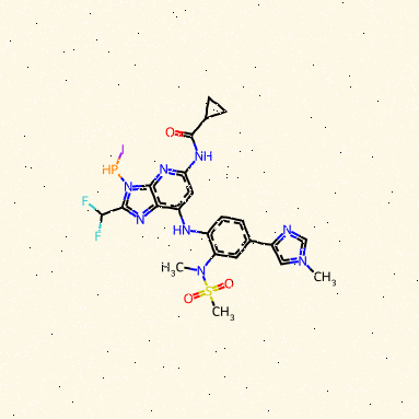 CN(c1cc(-c2cn(C)cn2)ccc1Nc1cc(NC(=O)C2CC2)nc2c1nc(C(F)F)n2PI)S(C)(=O)=O